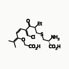 CCC(CSC[C@H](N)C(=O)O)C(=O)C(/C=C\C(OCC(=O)O)=C(C)C)=C\Cl